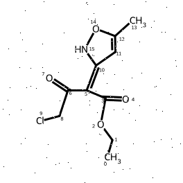 CCOC(=O)C(C(=O)CCl)=C1C=C(C)ON1